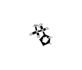 NS(=O)(=O)S(=O)(=O)c1cccs1